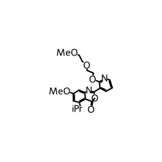 COCCOCCOc1ncccc1-c1nc2cc(OC)cc(C(C)C)c2c(=O)o1